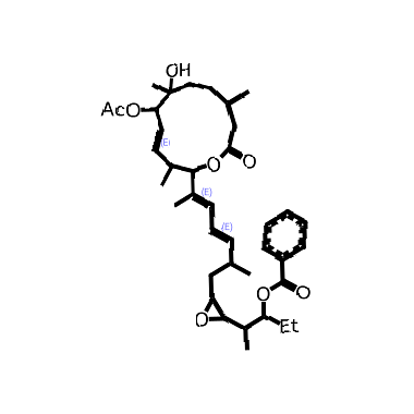 CCC(OC(=O)c1ccccc1)C(C)C1OC1CC(C)/C=C/C=C(\C)C1OC(=O)CC(C)CCC(C)(O)C(OC(C)=O)/C=C/C1C